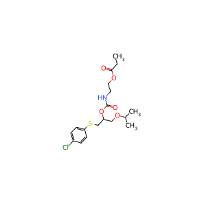 CCC(=O)OCCNC(=O)OC(COC(C)C)CSc1ccc(Cl)cc1